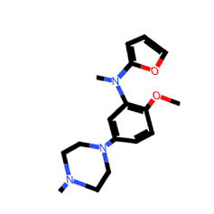 COc1ccc(N2CCN(C)CC2)cc1N(C)c1ccco1